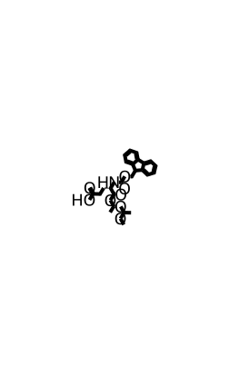 COC(C)OC(C)OC(=O)[C@H](CCC(=O)O)NC(=O)OCC1c2ccccc2-c2ccccc21